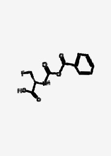 O=C(N[C@H](CF)C(=O)O)OC(=O)c1ccccc1